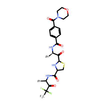 CC(C)C(NC(=O)C1CSC(C(=O)[C@H](NC(=O)c2ccc(C(=O)N3CCOCC3)cc2)C(C)C)N1)C(=O)C(F)(F)C(F)(F)F